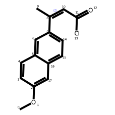 COc1ccc2cc(/C(C)=C\C(=O)Cl)ccc2c1